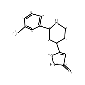 O=c1cc(C2CCNC(c3cccc(C(F)(F)F)c3)C2)o[nH]1